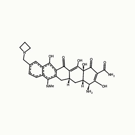 CNc1c2c(c(O)c3cc(CN4CCC4)ccc13)C(=O)C1=C(O)[C@]3(O)C(=O)C(C(N)=O)=C(O)[C@@H](N)[C@@H]3C[C@@H]1C2